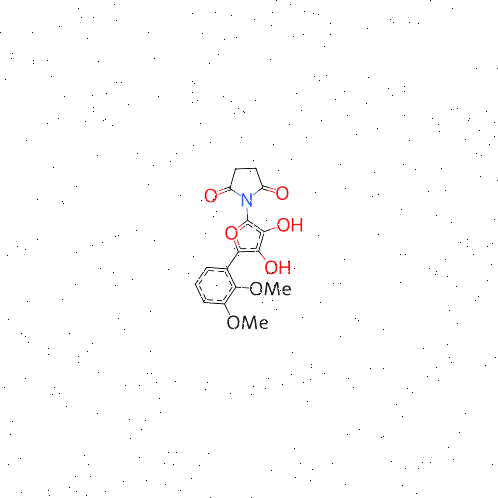 COc1cccc(-c2oc(N3C(=O)CCC3=O)c(O)c2O)c1OC